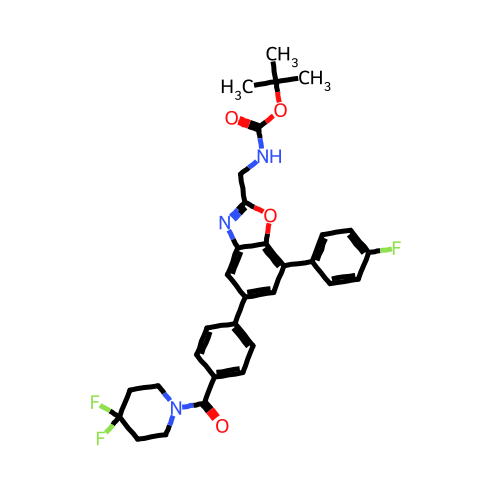 CC(C)(C)OC(=O)NCc1nc2cc(-c3ccc(C(=O)N4CCC(F)(F)CC4)cc3)cc(-c3ccc(F)cc3)c2o1